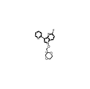 Fc1ccc2c(n1)c(-c1ccccn1)cn2OC[C@@H]1COCCO1